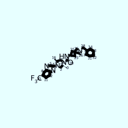 C[C@@H]1CN(c2cnc3cc(C(F)(F)F)ccc3n2)[C@@H](C)CN1C(=O)NC1CC2(C1)CN(Cc1ccccc1)C2